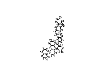 C1=CC(c2cccc3ccccc23)CC(c2c3ccccc3c(-c3ccc4sc5c6cc7oc8ccccc8c7cc6ccc5c4c3)c3ccccc23)=C1